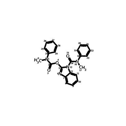 CN(C(=O)Oc1nc2ccccc2n1C(=O)N(C)c1ccccc1)c1ccccc1